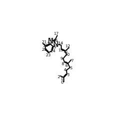 CC(C)=CCC/C(C)=C/CC/C(C)=C/Cn1c(C)nc2c(C)cccc21